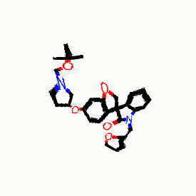 CC(C)(C)OCN1CC[C@H](Oc2ccc3c(c2)OCC32C(=O)N(C[C@H]3CCCO3)c3ccccc32)C1